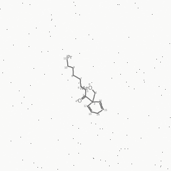 COCC1(C(=O)CCCCCCC(C)C)C=CCC=C1